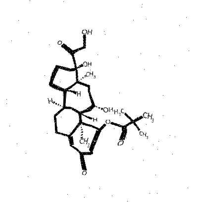 CC(C)(C)C(=O)OC1=CC(=O)C=C2CC[C@@H]3[C@H]([C@@H](O)C[C@@]4(C)[C@H]3CC[C@]4(O)C(=O)CO)[C@]21C